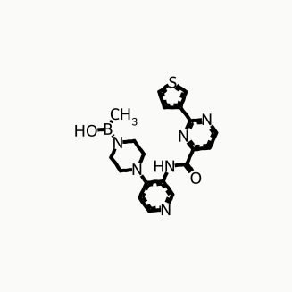 CB(O)N1CCN(c2ccncc2NC(=O)c2ccnc(-c3ccsc3)n2)CC1